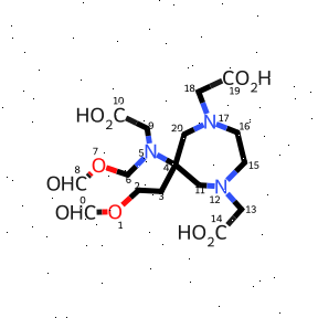 O=COCCC1(N(COC=O)CC(=O)O)CN(CC(=O)O)CCN(CC(=O)O)C1